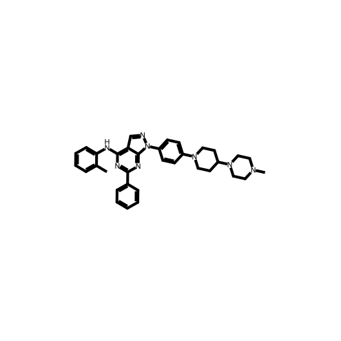 Cc1ccccc1Nc1nc(-c2ccccc2)nc2c1cnn2-c1ccc(N2CCC(N3CCN(C)CC3)CC2)cc1